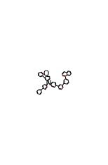 c1ccc(-c2ccc(N(c3ccc(-c4cccc(-c5cccc(-c6cccc7ccccc67)c5)c4)cc3)c3ccc4oc5ccccc5c4c3)cc2)cc1